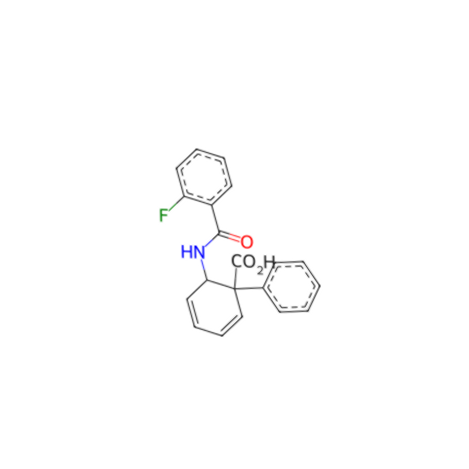 O=C(NC1C=CC=CC1(C(=O)O)c1ccccc1)c1ccccc1F